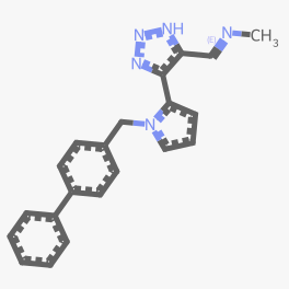 C/N=C/c1[nH]nnc1-c1cccn1Cc1ccc(-c2ccccc2)cc1